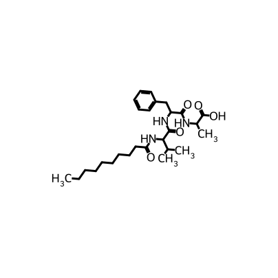 CCCCCCCCCC(=O)NC(C(=O)NC(Cc1ccccc1)C(=O)NC(C)C(=O)O)C(C)C